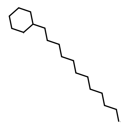 [CH2]CCCCCCCCCCCC1[CH]CCCC1